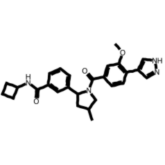 COc1cc(C(=O)N2CC(C)CC2c2cccc(C(=O)NC3CCC3)c2)ccc1-c1cn[nH]c1